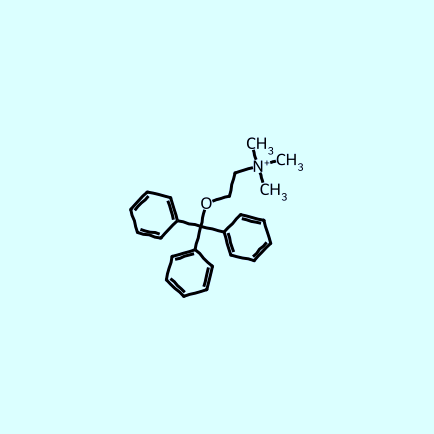 C[N+](C)(C)CCOC(c1ccccc1)(c1ccccc1)c1ccccc1